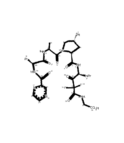 CCC[C@H](NC(=O)[C@@H]1C[C@@H](O)CN1C(=O)C(C)NC(=O)[C@@H](NC(=O)c1cnccn1)C(C)C)C(=O)C(F)(F)C(=O)NCC(=O)O